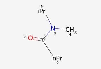 [CH2]CCC(=O)N(C)C(C)C